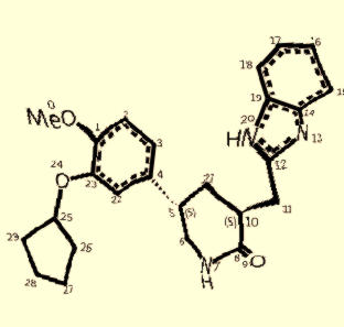 COc1ccc([C@H]2CNC(=O)[C@H](Cc3nc4ccccc4[nH]3)C2)cc1OC1CCCC1